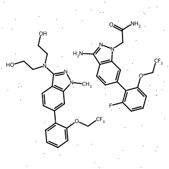 Cn1nc(N(CCO)CCO)c2ccc(-c3ccccc3OCC(F)(F)F)cc21.NC(=O)Cn1nc(N)c2ccc(-c3c(F)cccc3OCC(F)(F)F)cc21